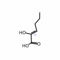 CCC/C=C(\O)C(=O)O